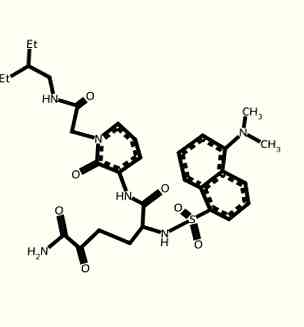 CCC(CC)CNC(=O)Cn1cccc(NC(=O)C(CCC(=O)C(N)=O)NS(=O)(=O)c2cccc3c(N(C)C)cccc23)c1=O